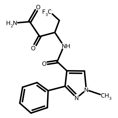 Cn1cc(C(=O)NC(CC(F)(F)F)C(=O)C(N)=O)c(-c2ccccc2)n1